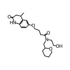 CC1CC(=O)Nc2ccc(OCCCC(=O)N(CCO)CC3CCCCO3)cc21